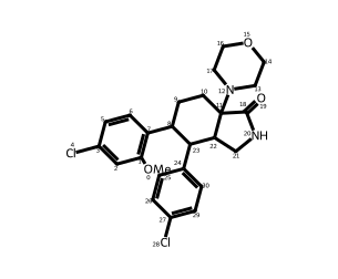 COc1cc(Cl)ccc1C1CCC2(N3CCOCC3)C(=O)NCC2C1c1ccc(Cl)cc1